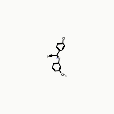 Cc1cccc(/N=C(\C#N)c2ccc(Cl)cc2)c1